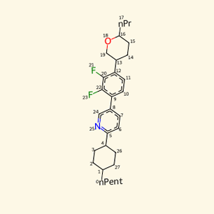 CCCCCC1CCC(c2ccc(-c3ccc(C4CCC(CCC)OC4)c(F)c3F)cn2)CC1